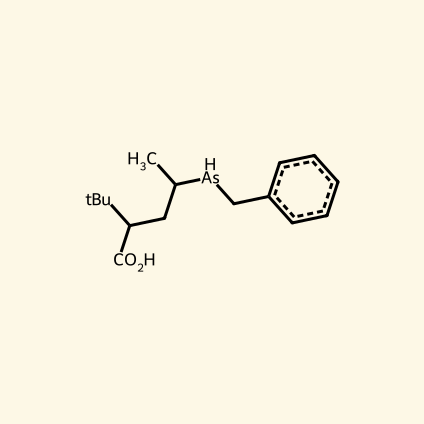 CC(CC(C(=O)O)C(C)(C)C)[AsH]Cc1ccccc1